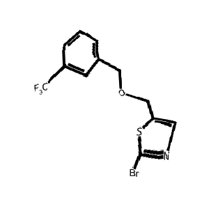 FC(F)(F)c1cccc(COCc2cnc(Br)s2)c1